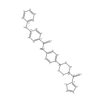 O=C(Nc1ccc(N2CCN(C(=O)c3cccs3)CC2)cc1)c1ccc(Oc2ccccc2)cc1